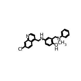 CN(Cc1cc(NCc2ccnc3cc(Cl)ccc23)ccc1O)c1ccccc1